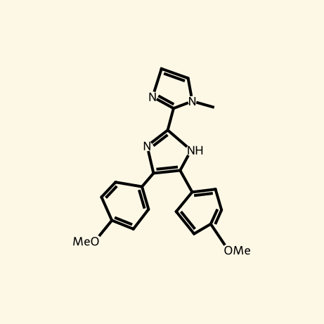 COc1ccc(-c2nc(-c3nccn3C)[nH]c2-c2ccc(OC)cc2)cc1